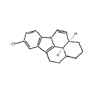 Clc1ccc2c(c1)c1c3n2C=C[C@H]2CCCN(CC1)[C@@H]32